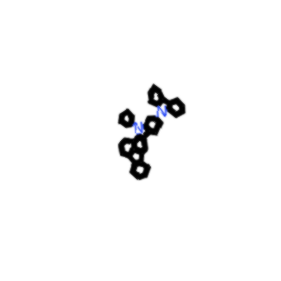 c1ccc(-n2c3cc(-n4c5ccccc5c5ccccc54)ccc3c3cc4c5c(cccc5c32)-c2ccccc2-4)cc1